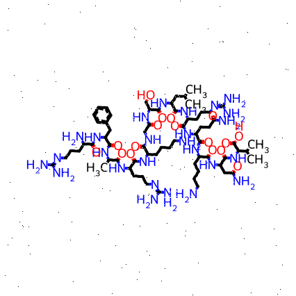 CC(C)CC(NC(=O)C(CO)NC(=O)CNC(=O)C(CCCCN)NC(=O)C(CCCN=C(N)N)NC(=O)C(C)NC(=O)C(Cc1ccccc1)NC(=O)C(N)CCCN=C(N)N)C(=O)NC(CCCN=C(N)N)C(=O)NC(CCC(N)=O)C(=O)NC(CCCCN)C(=O)NC(CC(N)=O)C(=O)NC(C(=O)O)C(C)C